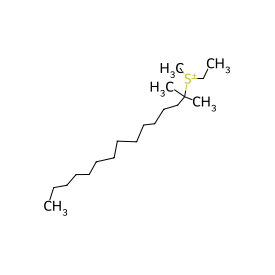 CCCCCCCCCCCCCC(C)(C)[S+](C)CC